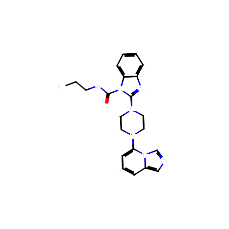 CC(C)CCNC(=O)n1c(N2CCN(c3cccc4cncn34)CC2)nc2ccccc21